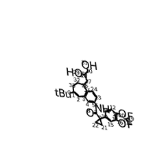 CC(C)(C)C1=Cc2cc(NC(=O)C3(c4ccc5c(c4)OC(F)(F)O5)CC3)ccc2C(C[C@@H](O)CO)CC1